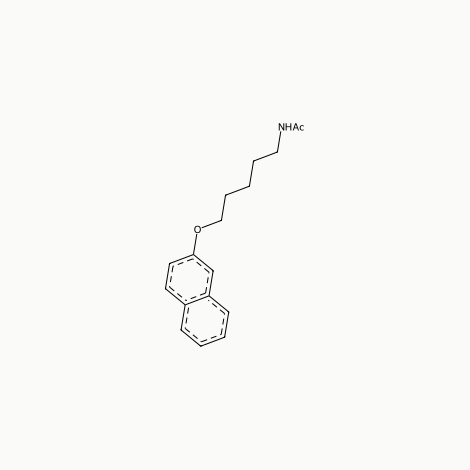 CC(=O)NCCCCCOc1ccc2ccccc2c1